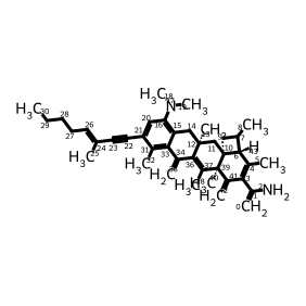 C=C(N)C1=C(C)[C@H]2C(C)C[C@]23C[C@]2(C)Cc4c(N(C)C)cc(C#C/C(C)=C/CCCC)c(C)c4C(=C)C2=C(C)[C@]3(C)C1=C